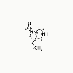 C1CNCCN1.CCCCNC=O